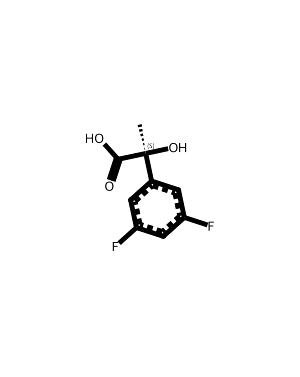 C[C@@](O)(C(=O)O)c1cc(F)cc(F)c1